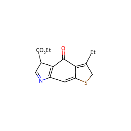 CCOC(=O)C1C=NC2=C1C(=O)C1=C(CC)CSC1=C2